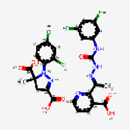 C/C(=N\NC(=O)Nc1cc(F)cc(F)c1)c1ncccc1C(=O)O.CC1(C(=O)O)CC(C(=O)O)=NN1c1ccc(Cl)cc1Cl